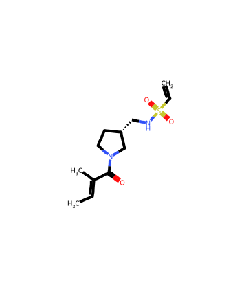 C=CS(=O)(=O)NC[C@H]1CCN(C(=O)/C(C)=C/C)C1